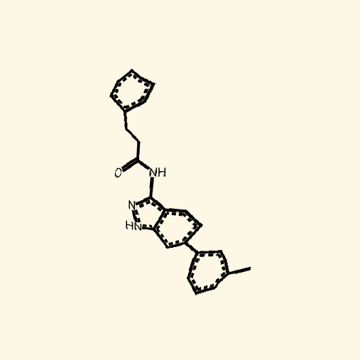 Cc1cccc(-c2ccc3c(NC(=O)CCc4ccccc4)n[nH]c3c2)c1